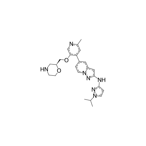 Cc1cc(-c2ccn3nc(Nc4ccn(C(C)C)n4)cc3c2)c(OC[C@@H]2CNCCO2)cn1